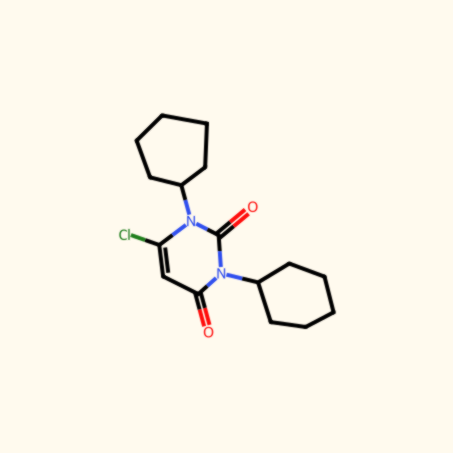 O=c1cc(Cl)n(C2CCCCC2)c(=O)n1C1CCCCC1